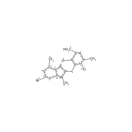 Cc1cc(C(=O)O)c(Cl)c(Cc2nc3c(C(F)(F)F)cc(Br)cc3n2C)c1Cl